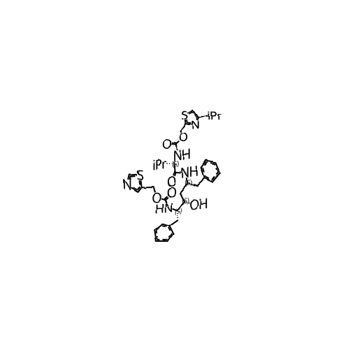 CC(C)c1csc(COC(=O)N[C@H](C(=O)N[C@@H](Cc2ccccc2)C[C@H](O)[C@H](Cc2ccccc2)NC(=O)OCc2cncs2)C(C)C)n1